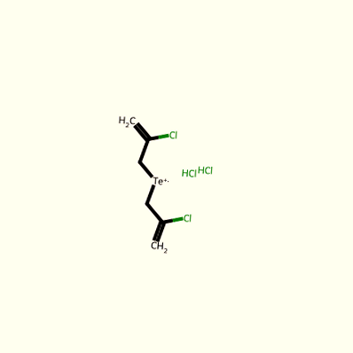 C=C(Cl)C[Te+]CC(=C)Cl.Cl.Cl